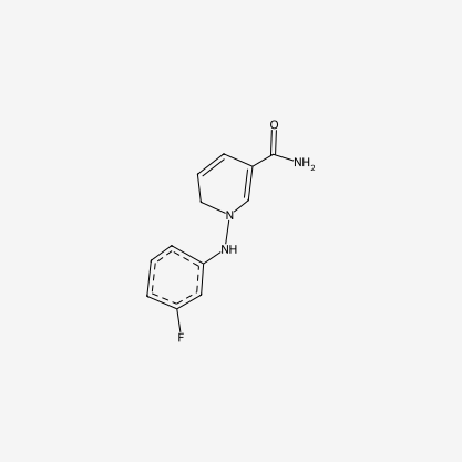 NC(=O)C1=CN(Nc2cccc(F)c2)CC=C1